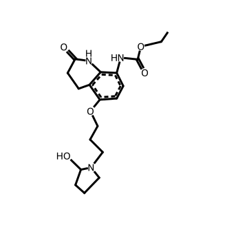 CCOC(=O)Nc1ccc(OCCCN2CCCC2O)c2c1NC(=O)CC2